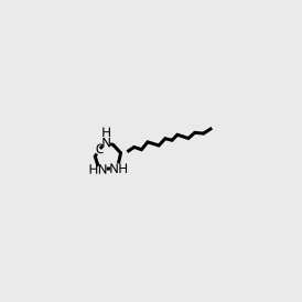 C1CNCCCNNC1.CCCCCCCCCCCC